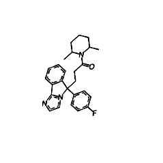 CC1CCCC(C)N1C(=O)CCC1(c2ccc(F)cc2)c2ccccc2-c2nccn21